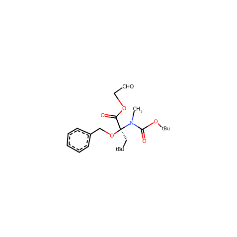 CN(C(=O)OC(C)(C)C)[C@@](CC(C)(C)C)(OCc1ccccc1)C(=O)OCC=O